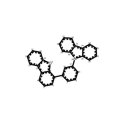 c1cc(-c2cccc3c2oc2ccccc23)cc(-n2c3ccccc3c3ccccc32)c1